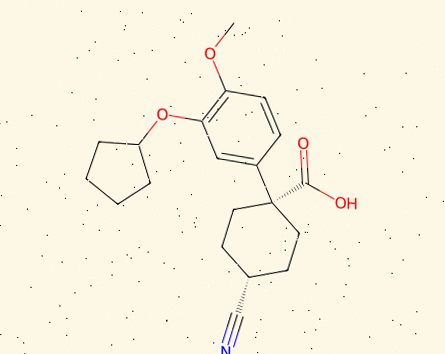 COc1ccc([C@]2(C(=O)O)CC[C@@H](C#N)CC2)cc1OC1CCCC1